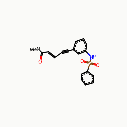 CNC(=O)/C=C/C#Cc1cccc(NS(=O)(=O)c2ccccc2)c1